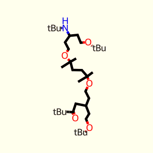 CC(C)(C)NC(CCOC(C)(C)C)CCOC(C)(C)CCC(C)(C)OCCC(CCOC(C)(C)C)CC(=O)C(C)(C)C